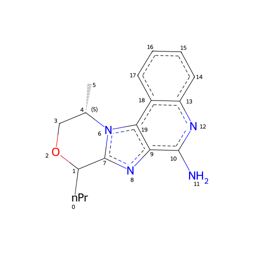 CCCC1OC[C@H](C)n2c1nc1c(N)nc3ccccc3c12